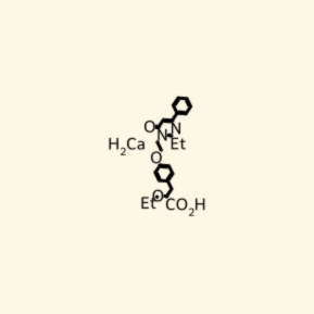 CCOC(Cc1ccc(OCCn2c(CC)nc(-c3ccccc3)cc2=O)cc1)C(=O)O.[CaH2]